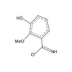 COc1c(O)cccc1C(=N)Cl